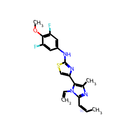 C=Cn1c(/C=C\C)nc(C)c1-c1csc(Nc2cc(F)c(OC)c(F)c2)n1